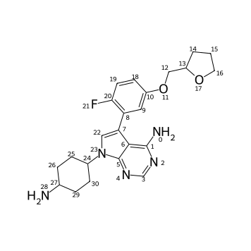 Nc1ncnc2c1c(-c1cc(OCC3CCCO3)ccc1F)cn2C1CCC(N)CC1